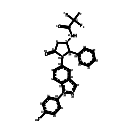 CC(F)(F)C(=O)N[C@H]1CC(=O)N(c2ccc3c(cnn3-c3ccc(F)cc3)c2)C1c1ccccc1